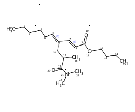 CCCCC/C=C(/C=C/C(=O)OCCCC)CC(C)C(=O)N(C)C